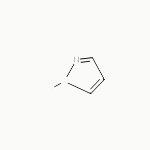 [O-][s+]1cccn1